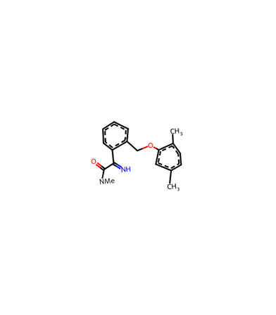 CNC(=O)C(=N)c1ccccc1COc1cc(C)ccc1C